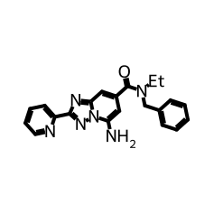 CCN(Cc1ccccc1)C(=O)c1cc(N)n2nc(-c3ccccn3)nc2c1